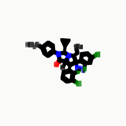 CC(C)(C)C[C@@H]1N2[C@H](C3CC3)N(c3ccc(C(=O)O)cc3)C(=O)[C@H]2[C@H](c2cccc(Cl)c2F)[C@@]1(N)c1ccc(Cl)cc1F